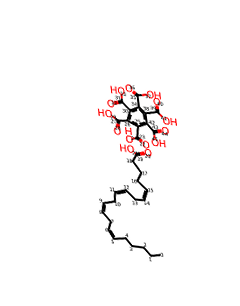 CCCCC/C=C\C/C=C\C/C=C\C/C=C\CCCC(=O)O.O=C(O)c1c(C(=O)O)c(C(=O)O)c(C(=O)O)c(C(=O)O)c1C(=O)O